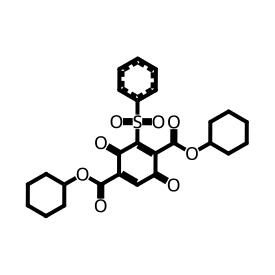 O=C1C=C(C(=O)OC2CCCCC2)C(=O)C(S(=O)(=O)c2ccccc2)=C1C(=O)OC1CCCCC1